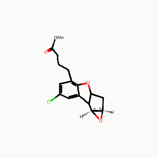 COC(=O)CCCc1cc(Cl)cc2c1OC1C[C@H]3O[C@H]3C21